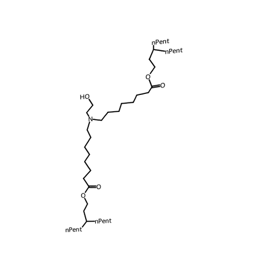 CCCCCC(CCCCC)CCOC(=O)CCCCCCCN(CCO)CCCCCCCC(=O)OCCC(CCCCC)CCCCC